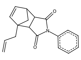 C=CCC12C=CC(C1)C1C(=O)N(c3ccccc3)C(=O)C12